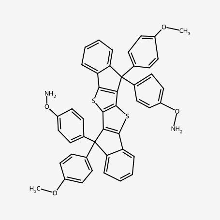 COc1ccc(C2(c3ccc(ON)cc3)c3ccccc3-c3sc4c5c(sc4c32)-c2ccccc2C5(c2ccc(OC)cc2)c2ccc(ON)cc2)cc1